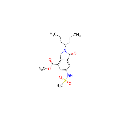 CCCC(CCC)N1Cc2c(C(=O)OC)cc(NS(C)(=O)=O)cc2C1=O